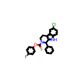 Fc1ccc(OC(=S)N2CCc3c([nH]c4ccc(Cl)cc34)C2c2ccccc2)cc1